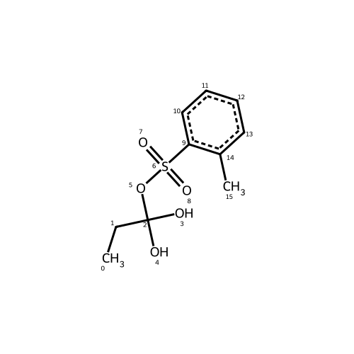 CCC(O)(O)OS(=O)(=O)c1ccccc1C